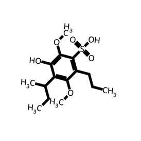 CCCc1c(OC)c(C(C)CC)c(O)c(OC)c1S(=O)(=O)O